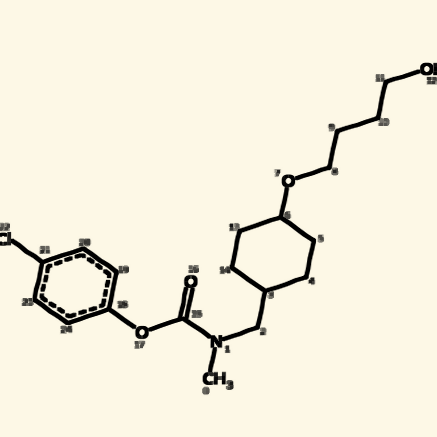 CN(CC1CCC(OCCCCO)CC1)C(=O)Oc1ccc(Cl)cc1